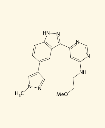 COCCNc1cc(-c2n[nH]c3ccc(-c4cnn(C)c4)cc23)ncn1